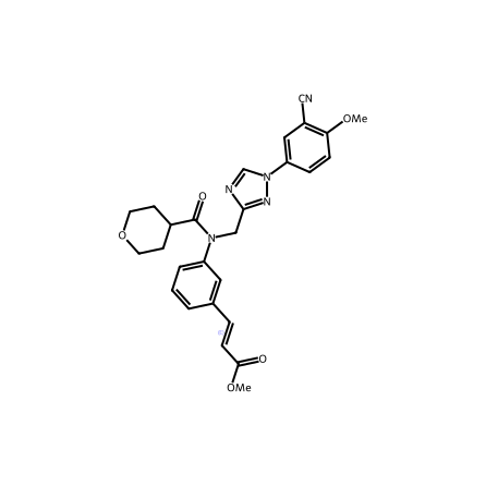 COC(=O)/C=C/c1cccc(N(Cc2ncn(-c3ccc(OC)c(C#N)c3)n2)C(=O)C2CCOCC2)c1